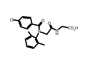 Cc1cccc(C)c1N(CC(=O)NCC(=O)O)C(=O)c1ccc(Cl)cc1